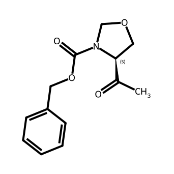 CC(=O)[C@@H]1COCN1C(=O)OCc1ccccc1